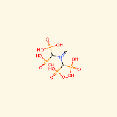 C=[N+](C(P(=O)(O)O)P(=O)(O)O)C(P(=O)(O)O)P(=O)(O)O